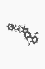 COc1cccc(OC)c1-c1cc2c(cc1F)C(NC(=O)O[C@H]1CN3CCC1CC3)C(C)(C)C2